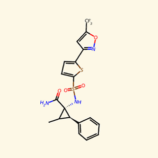 CC1[C@H](c2ccccc2)[C@]1(NS(=O)(=O)c1ccc(-c2cc(C(F)(F)F)on2)s1)C(N)=O